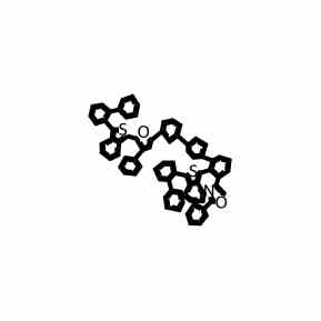 c1ccc(-c2nc(-c3cccc(-c4ccc(-c5cccc(-c6cc(-c7ccccc7)c(-c7sc(-c8ccccc8-c8ccccc8)c8ccccc78)o6)c5)cc4)c3-c3sc(-c4ccccc4-c4ccccc4)c4ccccc34)co2)cc1